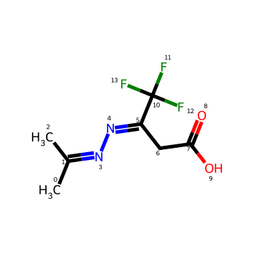 CC(C)=N/N=C(\CC(=O)O)C(F)(F)F